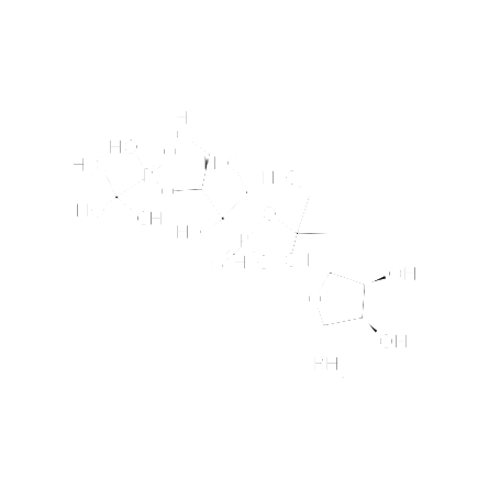 B[C@@H]1O[C@H](CC(C)(CC)OP(C)(=O)C(C)(CC)C(CC)OP(=O)(O)C(C)(C)O)[C@@H](O)[C@H]1O